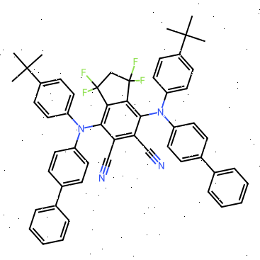 CC(C)(C)c1ccc(N(c2ccc(-c3ccccc3)cc2)c2c(C#N)c(C#N)c(N(c3ccc(-c4ccccc4)cc3)c3ccc(C(C)(C)C)cc3)c3c2C(F)(F)CC3(F)F)cc1